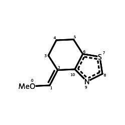 COC=C1CCCc2scnc21